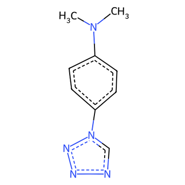 CN(C)c1ccc(-n2cnnn2)cc1